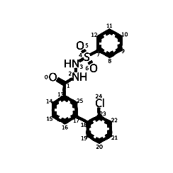 O=C(NNS(=O)(=O)c1ccccc1)c1cccc(-c2ccccc2Cl)c1